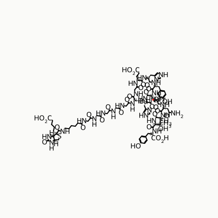 CC[C@H](C)[C@H](NC(=O)CNC(=O)CNC(=O)CNC(=O)CNC(=O)CNC(=O)CCCCCNC(=O)[C@@]1(CCCCC(=O)O)SC[C@@H]2NC(=O)N[C@@H]21)C(=O)NCC(=O)N[C@@H](CCC(=O)O)C(=O)N[C@@H](Cc1c[nH]cn1)C(=O)N[C@@H](Cc1ccc(O)cc1)C(=O)N[C@H](C(=O)N[C@@H](Cc1c[nH]cn1)C(=O)N[C@H](C(=O)N[C@@H](CC(N)=O)C(=O)N[C@@H](C)C(=O)N[C@H](C(=O)N[C@@H](Cc1ccc(O)cc1)C(=O)O)[C@@H](C)O)C(C)C)C(C)C